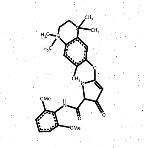 COc1cccc(OC)c1NC(=O)C1OC(Oc2cc3c(cc2C)[Si](C)(C)CC[Si]3(C)C)=CC1=O